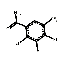 CCc1c(C(N)=O)cc(C(F)(F)F)c(CC)c1F